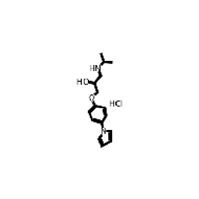 CC(C)NCC(O)COc1ccc(-n2cccc2)cc1.Cl